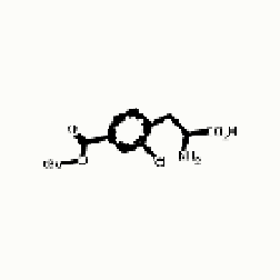 CC(C)(C)OC(=O)c1ccc(CC(N)C(=O)O)c(Cl)c1